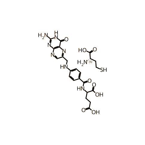 N[C@@H](CCS)C(=O)O.Nc1nc2ncc(CNc3ccc(C(=O)NC(CCC(=O)O)C(=O)O)cc3)nc2c(=O)[nH]1